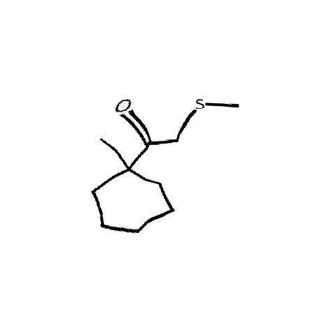 CSCC(=O)C1(C)CCCCC1